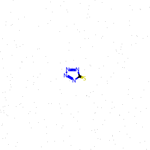 S=C1N=NN=N1